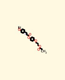 C=CC(=O)OCCCOc1ccc(OC(=O)/C=C/c2ccc(OCC)cc2)cc1